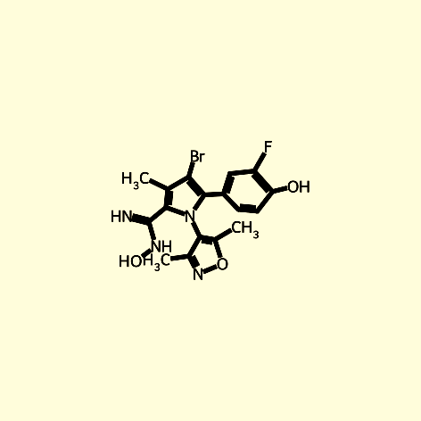 Cc1noc(C)c1-n1c(C(=N)NO)c(C)c(Br)c1-c1ccc(O)c(F)c1